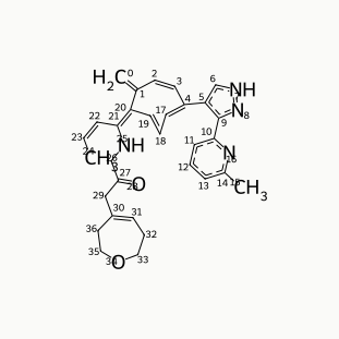 C=C1\C=C/C(c2c[nH]nc2-c2cccc(C)n2)=C/C=C/C1=C(/C=C\C)NCC(=O)CC1=CCCOCC1